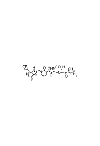 CN(C)C(=O)/C=C/CC[C@H](NC(=O)O)C(=O)Nc1cccn(Cc2nc3c(F)cnc(CCC(F)(F)F)c3[nH]2)c1=O